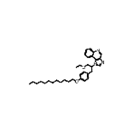 CCCCCCCCCCCCOc1ccc(CC(COCC)n2cnc3cnc4ccccc4c32)cc1